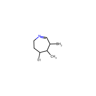 BC1C=NCCC(CC)C1C